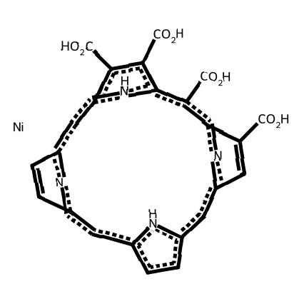 O=C(O)C1=Cc2cc3ccc(cc4nc(cc5[nH]c(c(C(=O)O)c1n2)c(C(=O)O)c5C(=O)O)C=C4)[nH]3.[Ni]